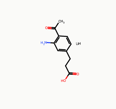 CC(=O)c1ccc(CCC(=O)O)cc1N.[LiH]